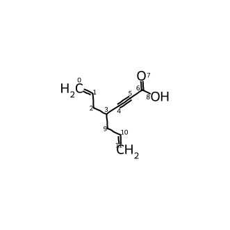 C=CCC(C#CC(=O)O)CC=C